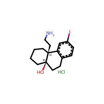 Cl.NCC[C@]12CCCC[C@@]1(O)CCc1ccc(I)cc12